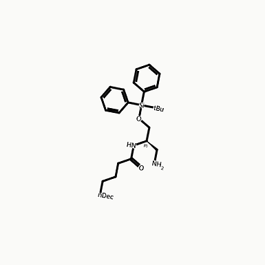 CCCCCCCCCCCCCC(=O)N[C@H](CN)CO[Si](c1ccccc1)(c1ccccc1)C(C)(C)C